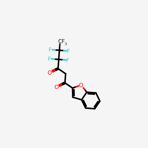 O=C(CC(=O)C(F)(F)C(F)(F)C(F)(F)F)c1cc2ccccc2o1